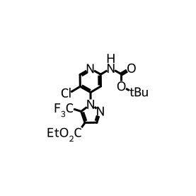 CCOC(=O)c1cnn(-c2cc(NC(=O)OC(C)(C)C)ncc2Cl)c1C(F)(F)F